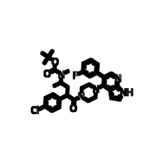 CC(CC(C(=O)N1CCN(c2c(-c3cccc(F)c3)cnc3[nH]ccc23)CC1)c1ccc(Cl)cc1)N(C)C(=O)OC(C)(C)C